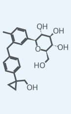 Cc1ccc([C@@H]2O[C@H](CO)[C@@H](O)[C@H](O)[C@H]2O)cc1Cc1ccc(C2(CO)CC2)cc1